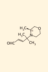 C[C@H]1COCCN1C(C)(C)C=CC=O